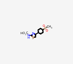 CS(=O)(=O)c1ccc(-c2csc(NC(=O)O)n2)cc1